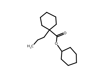 CCCC1(C(=O)OC2CCCCC2)CCCCC1